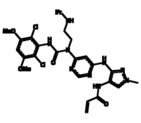 C=CC(=O)Nc1cn(C)nc1Nc1cc(N(CCNC(C)C)C(=O)Nc2c(Cl)c(OC)cc(OC)c2Cl)ncn1